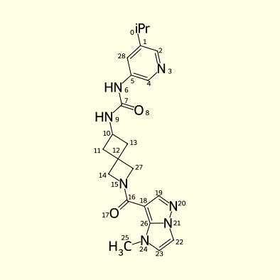 CC(C)c1cncc(NC(=O)NC2CC3(C2)CN(C(=O)c2cnn4ccn(C)c24)C3)c1